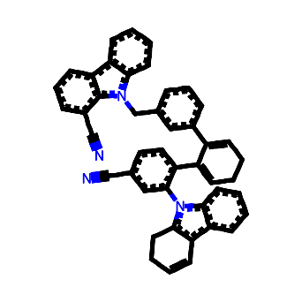 N#Cc1ccc(C2=CCCC=C2c2cccc(Cn3c4ccccc4c4cccc(C#N)c43)c2)c(-n2c3c(c4ccccc42)C=CCC3)c1